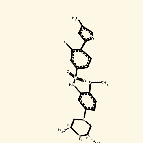 COc1ccc(N2C[C@@H](C)N[C@@H](C)C2)cc1NS(=O)(=O)c1ccc(-c2cc(C)cs2)c(F)c1